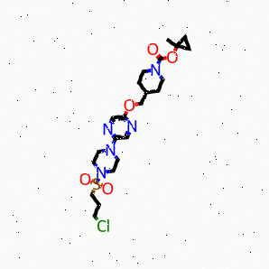 CC1(OC(=O)N2CCC(COc3cnc(N4CCN(S(=O)(=O)CCCCl)CC4)cn3)CC2)CC1